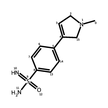 CN1CC=C(c2ccc(S(=N)(N)=O)cc2)C1